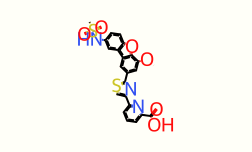 COc1cc(-c2nc(-c3cccc(C(=O)O)n3)cs2)cc2c1oc1ccc(NS(C)(=O)=O)cc12